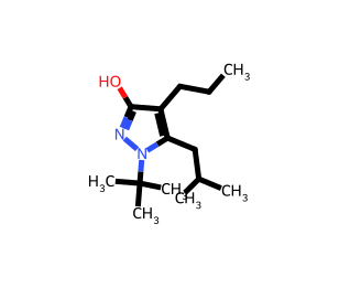 CCCc1c(O)nn(C(C)(C)C)c1CC(C)C